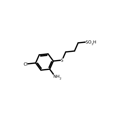 Nc1cc(Cl)ccc1SCCCS(=O)(=O)O